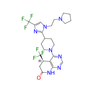 O=C1C[C@@H](C(F)(F)F)c2c(ncnc2N2CCC(c3nc(C(F)(F)F)cn3CCN3CCCC3)CC2)N1